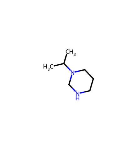 CC(C)N1CCCNC1